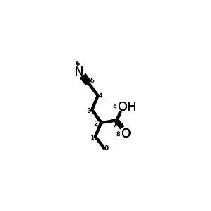 CCC(CCC#N)C(=O)O